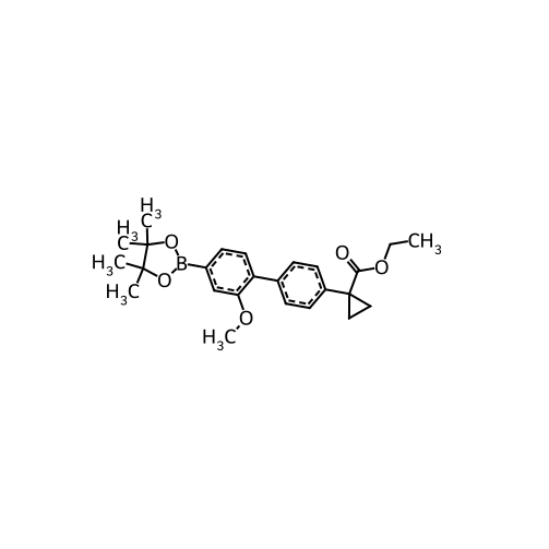 CCOC(=O)C1(c2ccc(-c3ccc(B4OC(C)(C)C(C)(C)O4)cc3OC)cc2)CC1